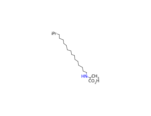 CC(C)CCCCCCCCCCCCCCCN[C@@H](C)C(=O)O